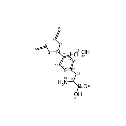 C=CCN(CC=C)c1ccc(CC(N)C(=O)O)cc1.Cl.Cl